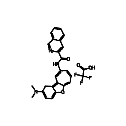 CN(C)C1=CC=c2oc3c(c2C1)C=C(NC(=O)c1cc2ccccc2cn1)C=CC=3.O=C(O)C(F)(F)F